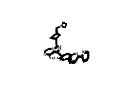 Nc1nccn2c(C3CC(CN4CCC4)C3)nc(-c3ccc4ccc(-c5ccccn5)nc4c3)c12